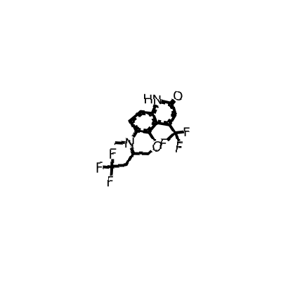 CN1c2ccc3[nH]c(=O)cc(C(F)(F)F)c3c2OCC1CC(F)(F)F